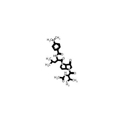 CC(=O)NC(C(=O)N1CC(=O)C2C1CCN2C(=O)C(CC(C)C)NC(=O)c1ccc(N(C)C)cc1)C(C)C